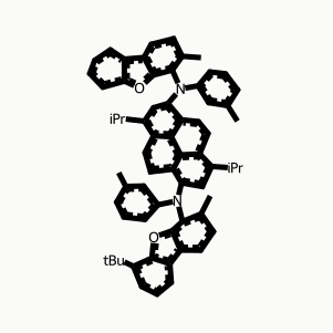 Cc1cccc(N(c2cc(C(C)C)c3ccc4c(N(c5cccc(C)c5)c5c(C)ccc6c5oc5c(C(C)(C)C)cccc56)cc(C(C)C)c5ccc2c3c54)c2c(C)ccc3c2oc2ccccc23)c1